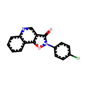 O=c1c2cnc3ccccc3c2on1-c1ccc(Cl)cc1